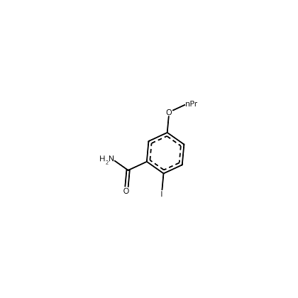 CCCOc1ccc(I)c(C(N)=O)c1